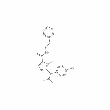 CN(C)C(c1ccc(Br)cc1)c1ccc(C(=O)NCCc2ccccc2)n1C